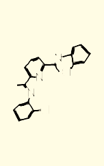 CC(=Nc1ccccc1Cl)c1cccc(C(C)=Nc2ccccc2Cl)n1